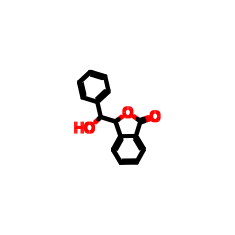 O=C1OC(C(O)c2ccccc2)c2ccccc21